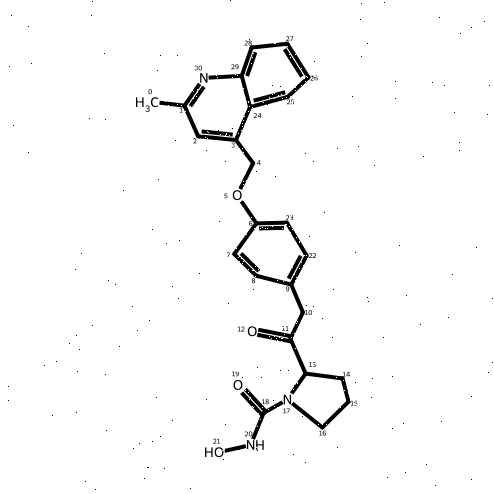 Cc1cc(COc2ccc(CC(=O)C3CCCN3C(=O)NO)cc2)c2ccccc2n1